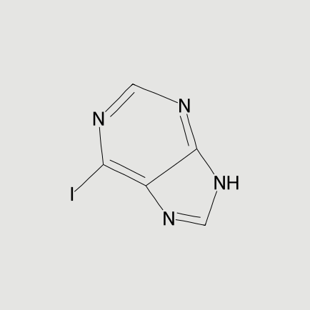 Ic1ncnc2[nH]cnc12